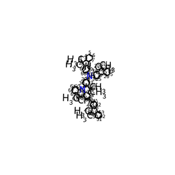 CC1(C)c2ccccc2-c2cc(N(c3ccc4c(c3)C(C)(C)c3ccccc3-4)c3ccc4c(c3)C(C)(C)c3cc(-c5ccc6c(c5)C(C)(C)c5ccccc5-6)cc5c3N4c3ccccc3C5(C)C)ccc21